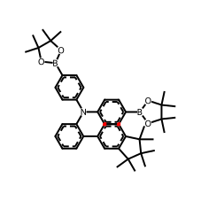 CC1(C)OB(c2ccc(N(c3ccc(B4OC(C)(C)C(C)(C)O4)cc3)c3ccccc3-c3ccc4c(c3)C(C)(C)C(C)(C)C4(C)C)cc2)OC1(C)C